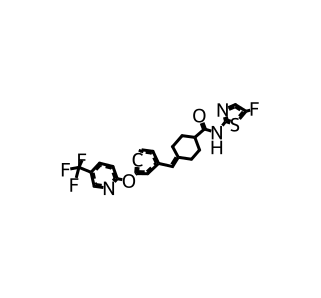 O=C(Nc1ncc(F)s1)C1CCC(=Cc2cccc(Oc3ccc(C(F)(F)F)cn3)c2)CC1